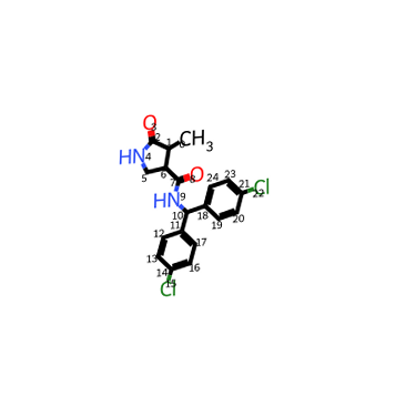 CC1C(=O)NCC1C(=O)NC(c1ccc(Cl)cc1)c1ccc(Cl)cc1